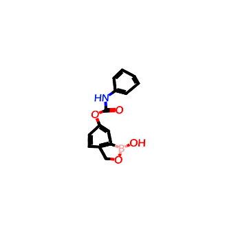 O=C(Nc1ccccc1)Oc1ccc2c(c1)B(O)OC2